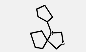 C1CCC(N2CSCC23CCCC3)C1